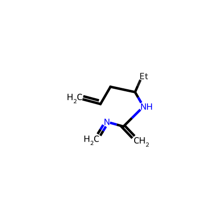 C=CCC(CC)NC(=C)N=C